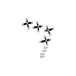 O=S(=O)([O-])[O-].O=S(=O)([O-])[O-].O=S(=O)([O-])[O-].O=S(=O)([O-])[O-].[Ca+2].[Ca+2].[Ca+2].[Cu+2]